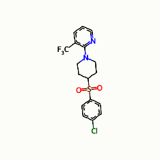 O=S(=O)(c1ccc(Cl)cc1)C1CCN(c2ncccc2C(F)(F)F)CC1